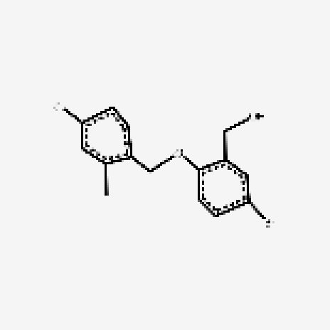 Cc1cc(Cl)ccc1COc1ccc(Br)cc1CO